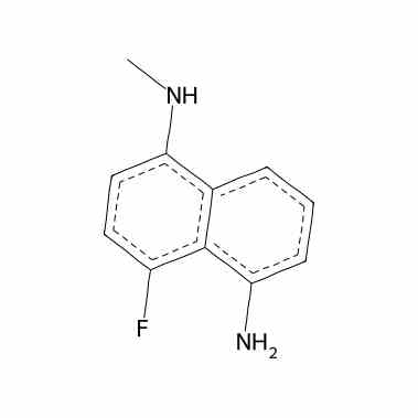 CNc1ccc(F)c2c(N)cccc12